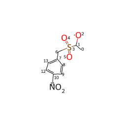 CC([O])S(=O)(=O)Cc1ccc([N+](=O)[O-])cc1